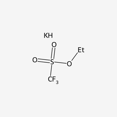 CCOS(=O)(=O)C(F)(F)F.[KH]